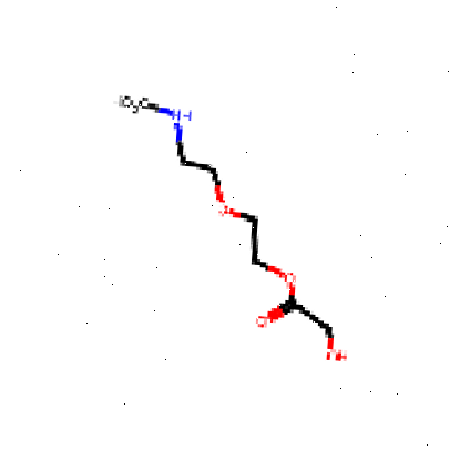 O=C(O)NCCOCCOC(=O)CO